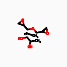 C(OCC1CO1)C1CO1.CC(O)CO.CCCC